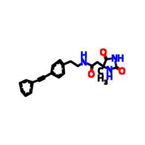 CC1(CC(=O)NCCc2ccc(C#Cc3ccccc3)cc2)NC(=O)NC1=O